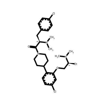 CC[C@@H](COc1cc(Cl)ccc1C1CCN(C(=O)[C@@H](Cc2ccc(Cl)cc2)N(C)C)CC1)N(C)C